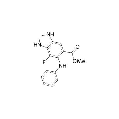 COC(=O)c1cc2c(c(F)c1Nc1ccccc1)NCN2